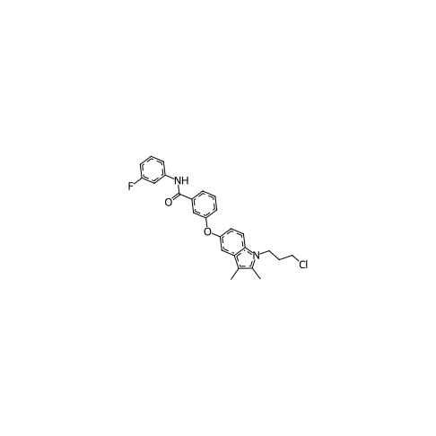 Cc1c(C)n(CCCCl)c2ccc(Oc3cccc(C(=O)Nc4cccc(F)c4)c3)cc12